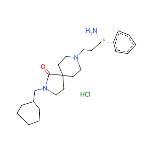 Cl.N[C@@H](CCN1CCC2(CC1)CCN(CC1CCCCC1)C2=O)c1ccccc1